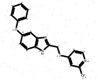 FC(F)(F)c1cc(SCc2nc3cc(Oc4ccccc4)ccc3[nH]2)ccn1